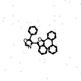 c1ccc(-c2ccccc2-c2oc(-c3ncoc3-c3ccccc3)c3ccccc23)cc1